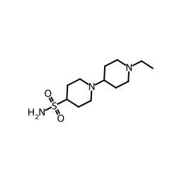 CCN1CCC(N2CCC(S(N)(=O)=O)CC2)CC1